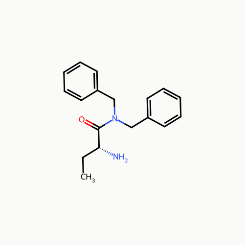 CC[C@@H](N)C(=O)N(Cc1ccccc1)Cc1ccccc1